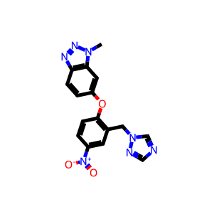 Cn1nnc2ccc(Oc3ccc([N+](=O)[O-])cc3Cn3cncn3)cc21